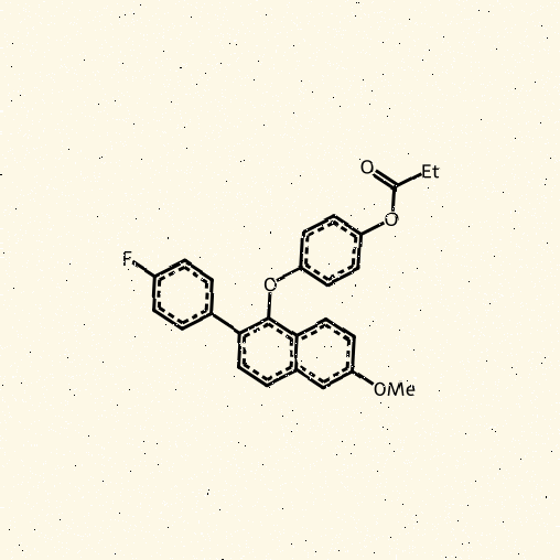 CCC(=O)Oc1ccc(Oc2c(-c3ccc(F)cc3)ccc3cc(OC)ccc23)cc1